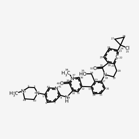 CN1CCN(c2ccc(Nc3cc(-c4cccc(N5CCc6cc(C7(Cl)CC7)ccc6C5=O)c4CO)cn(C)c3=O)nc2)CC1